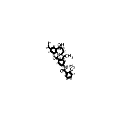 CCc1cc(NC(=O)c2ccccc2C)ccc1C(=O)N1CCCC(O)c2cc(CI)ccc21